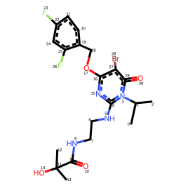 CC(C)n1c(NCCNC(=O)C(C)(C)O)nc(OCc2ccc(F)cc2F)c(Br)c1=O